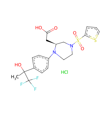 CC(O)(c1ccc(N2CCN(S(=O)(=O)c3cccs3)C[C@@H]2CC(=O)O)cc1)C(F)(F)F.Cl